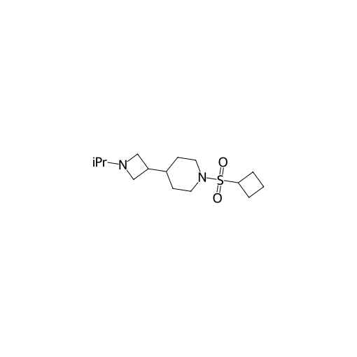 CC(C)N1CC(C2CCN(S(=O)(=O)C3CCC3)CC2)C1